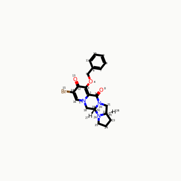 O=C1c2c(OCc3ccccc3)c(=O)c(Br)cn2C[C@@H]2N1C[C@H]1CCCN12